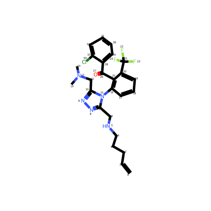 C=CCCCNCc1nnc(CN(C)C)n1-c1cccc(C(F)(F)F)c1C(=O)c1ccccc1Cl